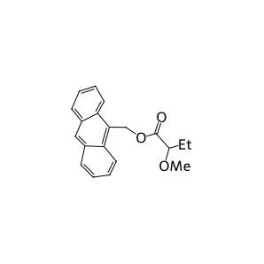 CCC(OC)C(=O)OCc1c2ccccc2cc2ccccc12